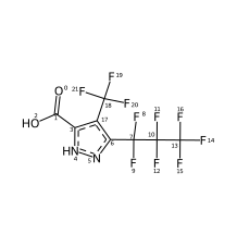 O=C(O)c1[nH]nc(C(F)(F)C(F)(F)C(F)(F)F)c1C(F)(F)F